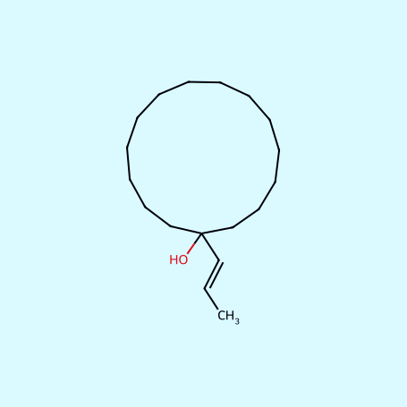 CC=CC1(O)CCCCCCCCCCCCCC1